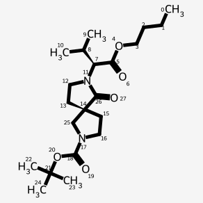 CCCCOC(=O)[C@H](C(C)C)N1CC[C@]2(CCN(C(=O)OC(C)(C)C)C2)C1=O